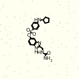 NC(=O)NCc1nc2cc(OS(=O)(=O)c3ccc(NC4CCCC4)cc3)ccc2[nH]1